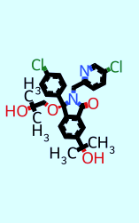 CC(C)(O)CO[C@]1(c2ccc(Cl)cc2)c2ccc(C(C)(C)O)cc2C(=O)N1Cc1ccc(Cl)cn1